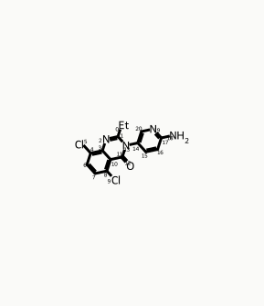 CCc1nc2c(Cl)ccc(Cl)c2c(=O)n1-c1ccc(N)nc1